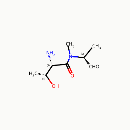 C[C@@H](O)[C@H](N)C(=O)N(C)[C@@H](C)C=O